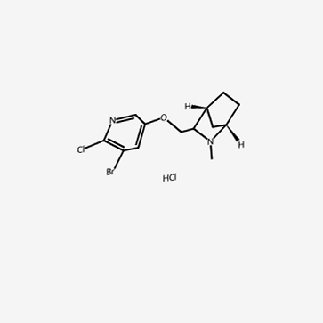 CN1C(COc2cnc(Cl)c(Br)c2)[C@@H]2CC[C@H]1C2.Cl